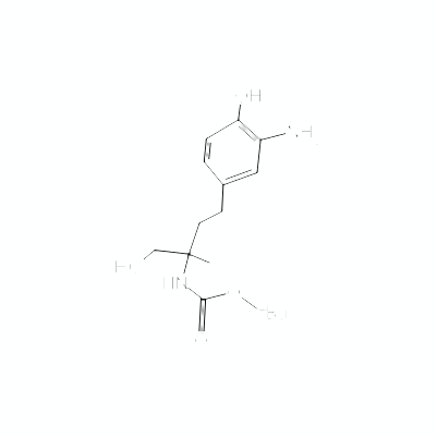 CC(CO)(CCc1ccc(O)c(N)c1)NC(=O)OC(C)(C)C